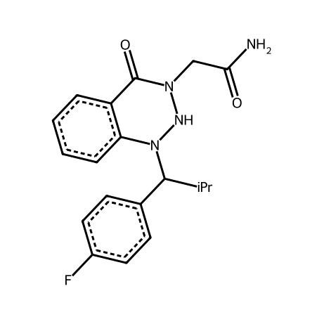 CC(C)C(c1ccc(F)cc1)N1NN(CC(N)=O)C(=O)c2ccccc21